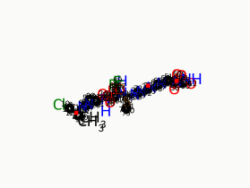 CC1(C)CCC(c2ccc(Cl)cc2)=C(CN2CCN3c4ccc(C(=O)NS(=O)(=O)c5ccc(N[C@H](CCN6CCN(C7CCN(C8CCN(c9ccc%10c(c9)C(=O)N(C9CCC(=O)NC9=O)C%10=O)CC8)CC7)CC6)CSc6ccccc6)c(S(=O)(=O)C(F)(F)F)c5)cc4CCC3C2)C1